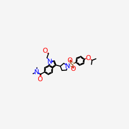 CC(C)Oc1ccc(S(=O)(=O)N2CCC(c3cn(CC=O)c4cc(C(=O)N(C)C)ccc34)C2)cc1